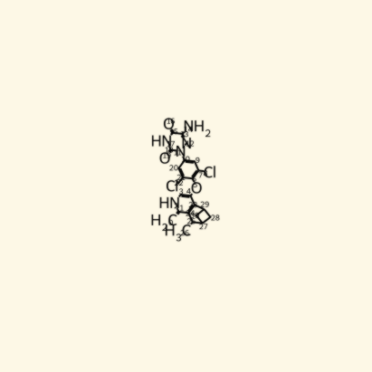 C=C1NC=C(Oc2c(Cl)cc(-n3nc(N)c(=O)[nH]c3=O)cc2Cl)C2=C1C(C)C1CC2C1